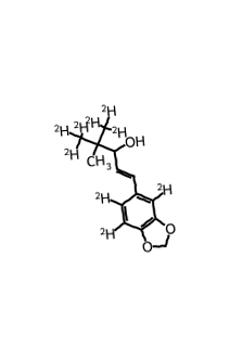 [2H]c1c([2H])c2c(c([2H])c1/C=C/C(O)C(C)(C([2H])([2H])[2H])C([2H])([2H])[2H])OCO2